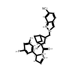 N#Cc1ccc2cn(CC3C[C@H](C(=O)N4N=CCC4c4cc(F)cc(F)c4)C4CC3C4)nc2c1